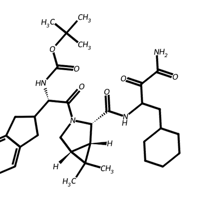 CC(C)(C)OC(=O)N[C@H](C(=O)N1C[C@@H]2[C@H]([C@H]1C(=O)NC(CC1CCCCC1)C(=O)C(N)=O)C2(C)C)C1Cc2ccccc2C1